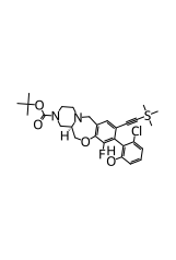 CC(C)(C)OC(=O)N1CCN2Cc3cc(C#CS(C)(C)C)c(-c4c(O)cccc4Cl)c(F)c3OC[C@H]2C1